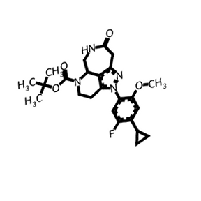 COc1cc(C2CC2)c(F)cc1-n1nc2c3c1CCN(C(=O)OC(C)(C)C)C3CNC(=O)C2